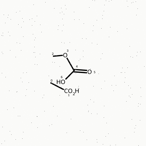 CC(=O)O.COC(=O)O